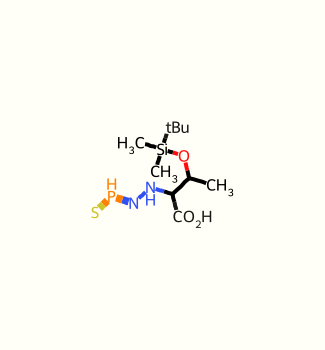 CC(O[Si](C)(C)C(C)(C)C)C(NN=[PH]=S)C(=O)O